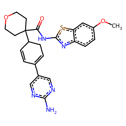 COc1ccc2nc(NC(=O)C3(C4C=CC(c5cnc(N)nc5)=CC4)CCOCC3)sc2c1